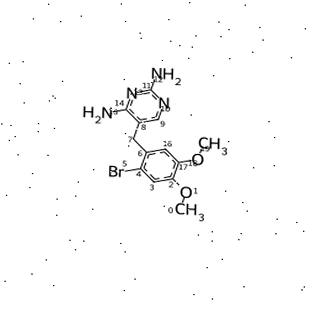 COc1cc(Br)c(Cc2cnc(N)nc2N)cc1OC